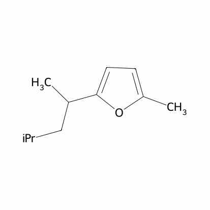 Cc1ccc(C(C)CC(C)C)o1